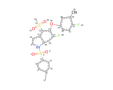 Cc1ccc(S(=O)(=O)n2ccc3c(S(C)(=O)=O)c(Oc4ccc(F)c(C#N)c4)c(F)cc32)cc1